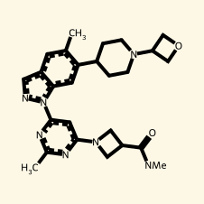 CNC(=O)C1CN(c2cc(-n3ncc4cc(C)c(C5CCN(C6COC6)CC5)cc43)nc(C)n2)C1